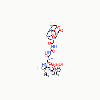 CC(C)[C@H](NC(=O)CNC(=O)CNC(=O)CNC(=O)CN1CCN2CCN3CCN(CC1)CC(=O)OC(CC(=O)C3)OC(=O)C2)C(=O)N[C@H](C)C(=O)N1CCC[C@H]1B(O)O